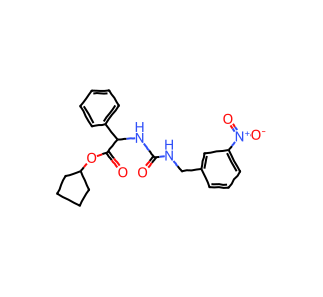 O=C(NCc1cccc([N+](=O)[O-])c1)NC(C(=O)OC1CCCC1)c1ccccc1